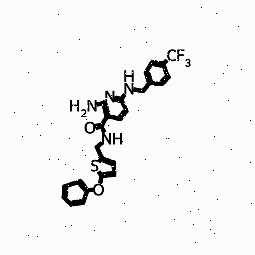 Nc1nc(NCc2ccc(C(F)(F)F)cc2)ccc1C(=O)NCc1ccc(Oc2ccccc2)s1